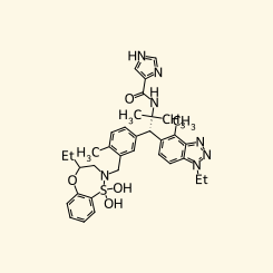 CCC1CN(Cc2cc([C@@H](c3ccc4c(nnn4CC)c3C)C(C)(C)NC(=O)c3c[nH]cn3)ccc2C)S(O)(O)c2ccccc2O1